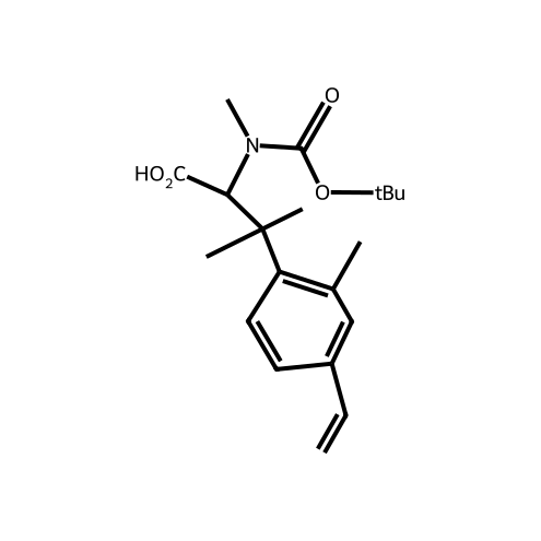 C=Cc1ccc(C(C)(C)C(C(=O)O)N(C)C(=O)OC(C)(C)C)c(C)c1